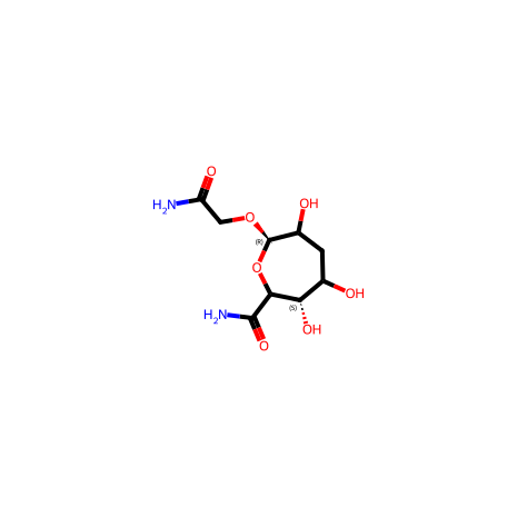 NC(=O)CO[C@@H]1OC(C(N)=O)[C@@H](O)C(O)CC1O